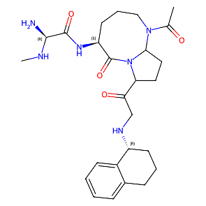 CN[C@@H](N)C(=O)N[C@H]1CCCN(C(C)=O)C2CCC(C(=O)CN[C@@H]3CCCc4ccccc43)N2C1=O